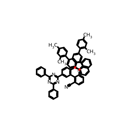 Cc1ccc(-c2ccc3c(c2)c2ccccc2n3-c2ccc(-c3nc(-c4ccccc4)nc(-c4ccccc4)n3)cc2-c2c(C#N)cccc2-n2c3ccccc3c3cc(-c4ccc(C)cc4C)ccc32)c(C)c1